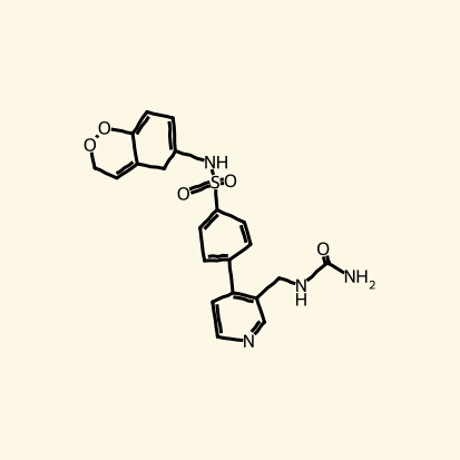 NC(=O)NCc1cnccc1-c1ccc(S(=O)(=O)NC2=CC=C3OOCC=C3C2)cc1